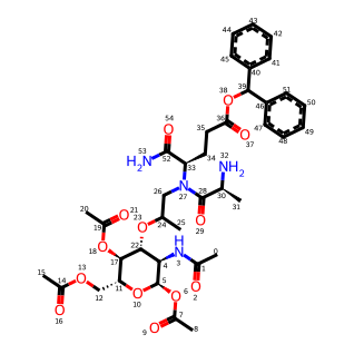 CC(=O)N[C@H]1[C@@H](OC(C)=O)O[C@H](COC(C)=O)[C@@H](OC(C)=O)[C@@H]1OC(C)CN(C(=O)[C@H](C)N)[C@H](CCC(=O)OC(c1ccccc1)c1ccccc1)C(N)=O